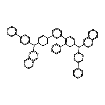 C1=CC(N(c2ccc(-c3ccccc3)cc2)c2ccc3ccccc3c2)CC(c2ccccc2)=C1c1cccc(C2C=CC(N(c3ccc(-c4ccccc4)cc3)c3ccc4ccccc4c3)CC2)c1